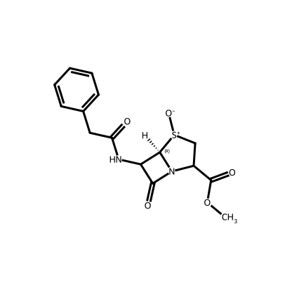 COC(=O)C1C[S+]([O-])[C@@H]2C(NC(=O)Cc3ccccc3)C(=O)N12